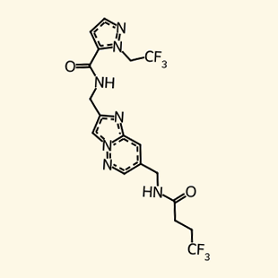 O=C(CCC(F)(F)F)NCc1cnn2cc(CNC(=O)c3ccnn3CC(F)(F)F)nc2c1